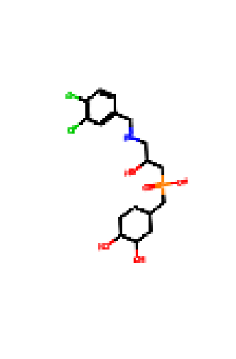 O=P(O)(CC(O)CNCc1ccc(Cl)c(Cl)c1)CC1CCC(O)C(O)C1